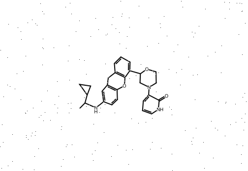 CC(Nc1ccc2c(c1)Cc1cccc(C3CN(c4ccc[nH]c4=O)CCO3)c1O2)C1CC1